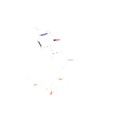 CC(COP(=O)(O)OP(=O)(O)OP(=O)(O)O)CC(C)C1C=CC(N)=NC1=O